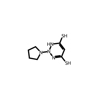 SC1=CC(S)=NN(N2CCCC2)N1